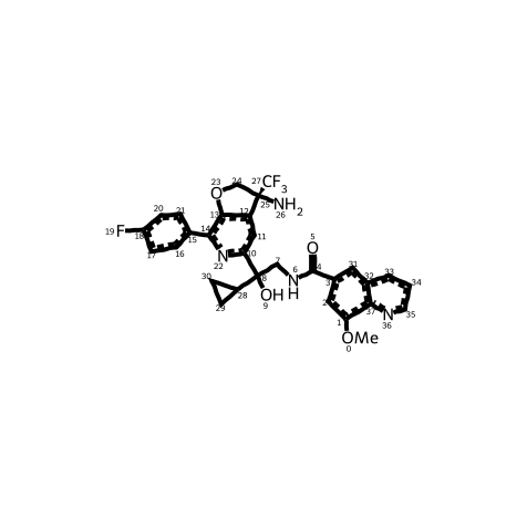 COc1cc(C(=O)NCC(O)(c2cc3c(c(-c4ccc(F)cc4)n2)OC[C@@]3(N)C(F)(F)F)C2CC2)cc2cccnc12